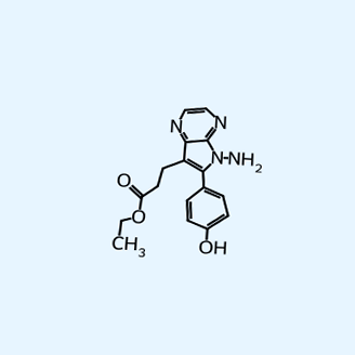 CCOC(=O)CCc1c(-c2ccc(O)cc2)n(N)c2nccnc12